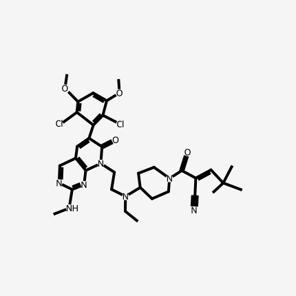 CCN(CCn1c(=O)c(-c2c(Cl)c(OC)cc(OC)c2Cl)cc2cnc(NC)nc21)C1CCN(C(=O)C(C#N)=CC(C)(C)C)CC1